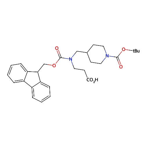 CC(C)(C)OC(=O)N1CCC(CN(CCC(=O)O)C(=O)OCC2c3ccccc3-c3ccccc32)CC1